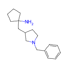 NC1(CC2CCN(Cc3ccccc3)C2)CCCC1